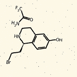 NC(=O)C(F)(F)F.Oc1ccc2c(c1)CCN[C@@H]2CCBr